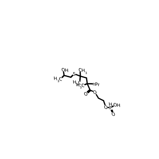 CCCC(C)(CC(C)(C)SCC(C)O)C(=O)OCCO[PH](=O)O